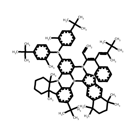 C=C/C(=C(\C=C(/C)C(C)(C)C)c1ccccc1)N1c2cc(N(c3ccc(C(C)(C)C)cc3C)c3ccc(C(C)(C)C)cc3C)cc3c2B(c2cc(C(C)(C)C)cc4c2N3C2(C)CCCCC42C)c2c1sc1cc3c(cc21)C(C)(C)CCC3(C)C